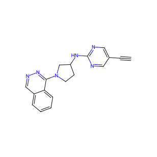 C#Cc1cnc(NC2CCN(c3nncc4ccccc34)C2)nc1